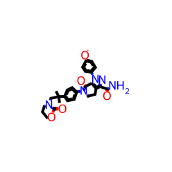 COc1ccc(-n2nc(C(N)=O)c3c2C(=O)N(c2ccc(C(C)(C)CN4CCCOC4=O)cc2)CC3)cc1